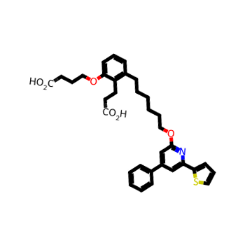 O=C(O)CCCOc1cccc(CCCCCCOc2cc(-c3ccccc3)cc(-c3cccs3)n2)c1CCC(=O)O